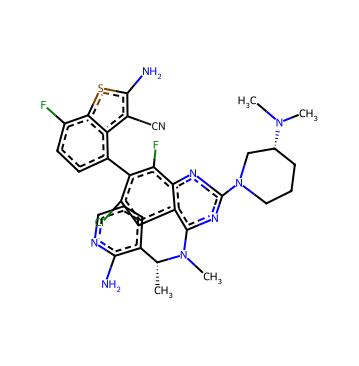 C[C@H](c1cccnc1N)N(C)c1nc(N2CCC[C@@H](N(C)C)C2)nc2c(F)c(-c3ccc(F)c4sc(N)c(C#N)c34)c(Cl)cc12